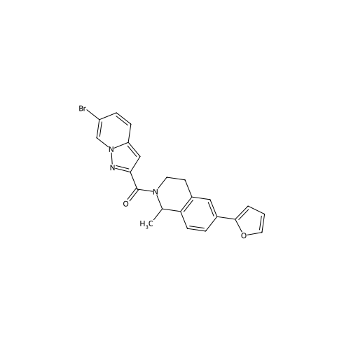 CC1c2ccc(-c3ccco3)cc2CCN1C(=O)c1cc2ccc(Br)cn2n1